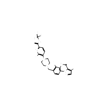 [2H]C([2H])([2H])NC(=O)c1ccc(N2CCN(Cc3ccc4c([nH]c(=O)c5c(F)cnn54)c3F)CC2)c(F)n1